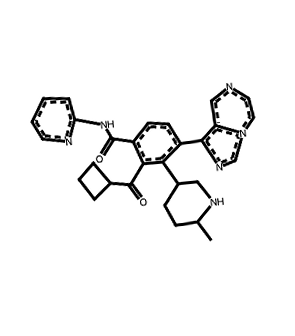 CC1CCC(c2c(-c3ncn4ccncc34)ccc(C(=O)Nc3ccccn3)c2C(=O)C2CCC2)CN1